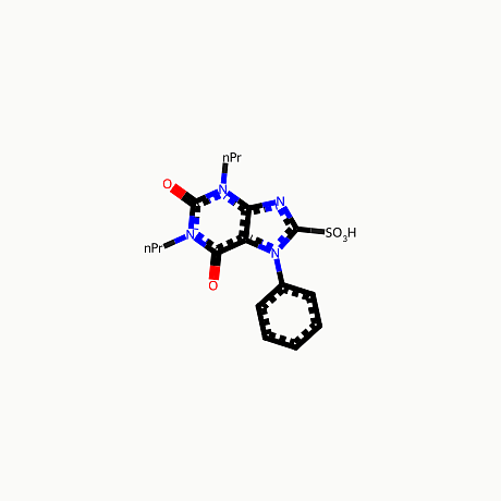 CCCn1c(=O)c2c(nc(S(=O)(=O)O)n2-c2ccccc2)n(CCC)c1=O